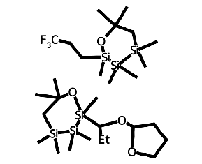 CC1(C)C[Si](C)(C)[Si](C)(C)[Si](C)(CCC(F)(F)F)O1.CCC(OC1CCCO1)[Si]1(C)OC(C)(C)C[Si](C)(C)[Si]1(C)C